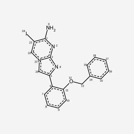 Nc1nc2nc(-c3ccccc3OCc3ccccc3)cn2cc1I